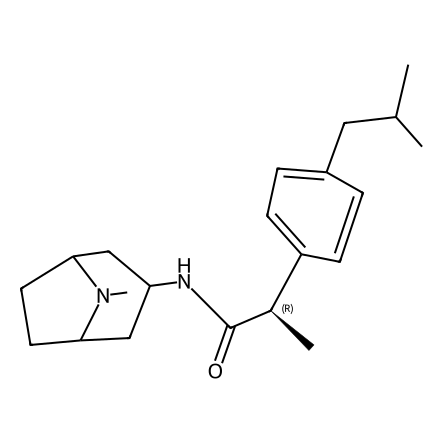 CC(C)Cc1ccc([C@@H](C)C(=O)NC2CC3CCC(C2)N3C)cc1